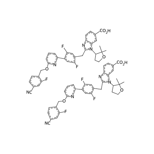 CC1(C)OCCC1n1c(Cc2cc(F)c(-c3cccc(OCc4ccc(C#N)cc4F)n3)cc2F)nc2ccc(C(=O)O)cc21.CC1(C)OCCC1n1c(Cc2cc(F)c(-c3cccc(OCc4ccc(C#N)cc4F)n3)cc2F)nc2ccc(C(=O)O)cc21